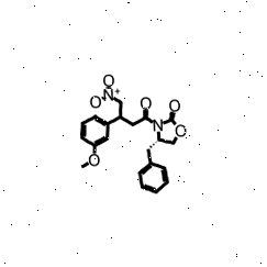 COc1cccc(C(CC(=O)N2C(=O)OC[C@@H]2Cc2ccccc2)C[N+](=O)[O-])c1